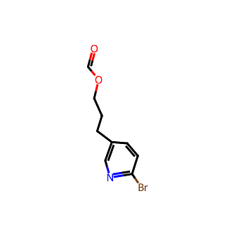 O=COCCCc1ccc(Br)nc1